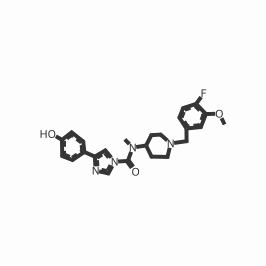 COc1cc(CN2CCC(N(C)C(=O)n3cnc(-c4ccc(O)cc4)c3)CC2)ccc1F